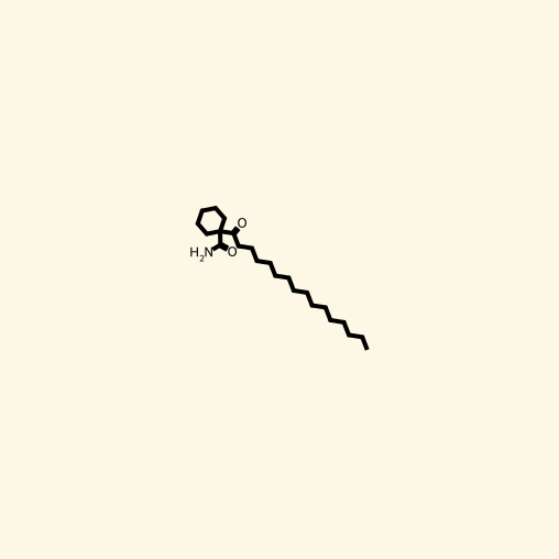 CCCCCCCCCCCCCCCC(=O)C1(C(N)=O)CCCCC1